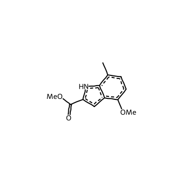 COC(=O)c1cc2c(OC)ccc(C)c2[nH]1